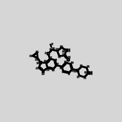 C[C@@H](Oc1cc(-c2ccc(N3CCNCC3)cc2)cc2ncn(C3CC3)c12)C1CNC(=O)C1